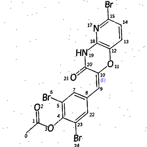 CC(=O)Oc1c(Br)cc(/C=C2/Oc3ccc(Br)nc3NC2=O)cc1Br